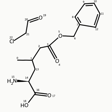 CC(CC(=O)OCc1ccccc1)C[C@H](N)C(=O)O.O=CCCl